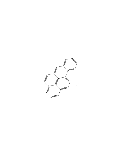 B.c1ccc2c(c1)cc1ccc3cccc4ccc2c1c34